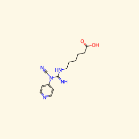 N#CN(C(=N)NCCCCCC(=O)O)c1ccncc1